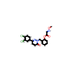 CON=CC(=O)Oc1ccccc1Cn1nc(-c2ccc(Cl)c(Cl)c2)ccc1=O